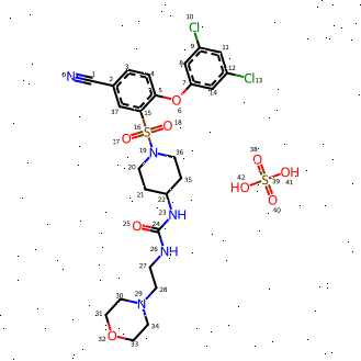 N#Cc1ccc(Oc2cc(Cl)cc(Cl)c2)c(S(=O)(=O)N2CCC(NC(=O)NCCN3CCOCC3)CC2)c1.O=S(=O)(O)O